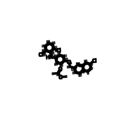 COC(C)=O.Clc1ccc2ccc(COc3ccc(Nc4c(Cl)cccc4Cl)cc3)nc2c1